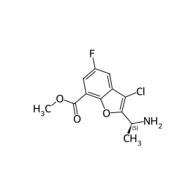 COC(=O)c1cc(F)cc2c(Cl)c([C@H](C)N)oc12